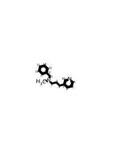 CN(CCCc1cccnc1)Cc1ccccc1